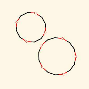 C1COCCOCCOCCO1.C1COCCOCCOCCOCCO1